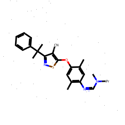 Cc1cc(Oc2snc(C(C)(C)c3ccccc3)c2C#N)c(C)cc1/N=C\N(C)C(C)C